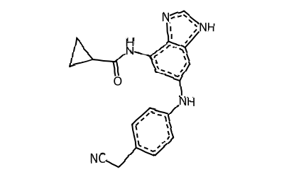 N#CCc1ccc(Nc2cc(NC(=O)C3CC3)c3nc[nH]c3c2)cc1